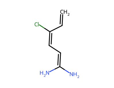 C=C/C(Cl)=C\C=C(N)N